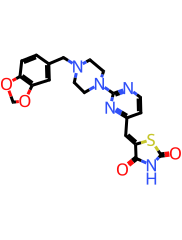 O=C1NC(=O)/C(=C/c2ccnc(N3CCN(Cc4ccc5c(c4)OCO5)CC3)n2)S1